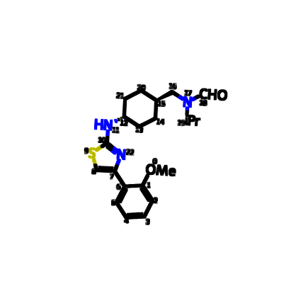 COc1ccccc1-c1csc(N[C@H]2CC[C@H](CN(C=O)C(C)C)CC2)n1